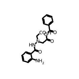 Nc1ccccc1C(=O)NN(CC(=O)O)CC(=O)OC(=O)c1ccccc1